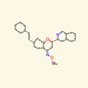 CC(C)(C)ON=c1cc(-c2cc3ccccc3cn2)oc2cc(C=Cc3ccccc3)ccc12